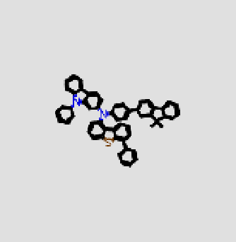 CC1(C)c2ccccc2-c2ccc(-c3ccc(N(c4ccc5c6ccccc6n(-c6ccccc6)c5c4)c4cccc5sc6c(-c7ccccc7)cccc6c45)cc3)cc21